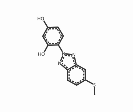 CSc1ccc2nn(-c3ccc(O)cc3O)nc2c1